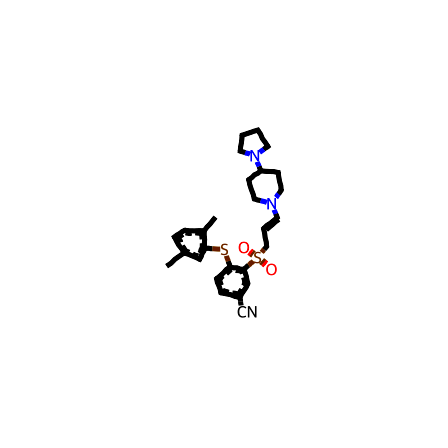 Cc1ccc(C)c(Sc2ccc(C#N)cc2S(=O)(=O)CC=CN2CCC(N3CCCC3)CC2)c1